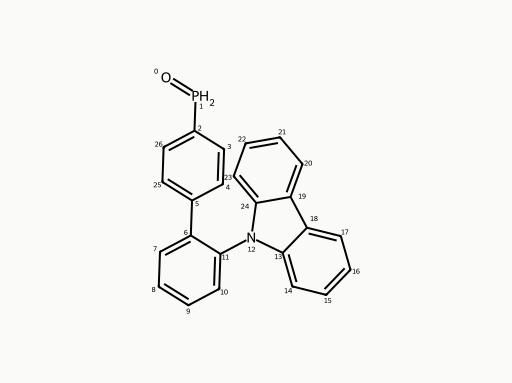 O=[PH2]c1ccc(-c2ccccc2-n2c3ccccc3c3ccccc32)cc1